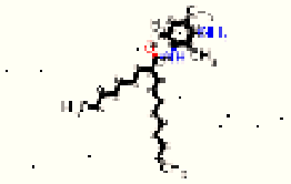 CCCCCCCCCC(CCCCCCC)C(=O)Nc1c(C)cc(C)c(N)c1C